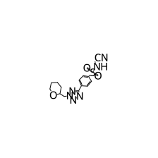 N#CCNS(=O)(=O)c1ccc(-c2nnn(CC3CCCCO3)n2)cc1